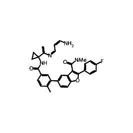 C=C(/N=C\C=C/N)C1(NC(=O)c2ccc(C)c(-c3ccc4oc(-c5ccc(F)cc5)c(C(=O)NC)c4c3)c2)CC1